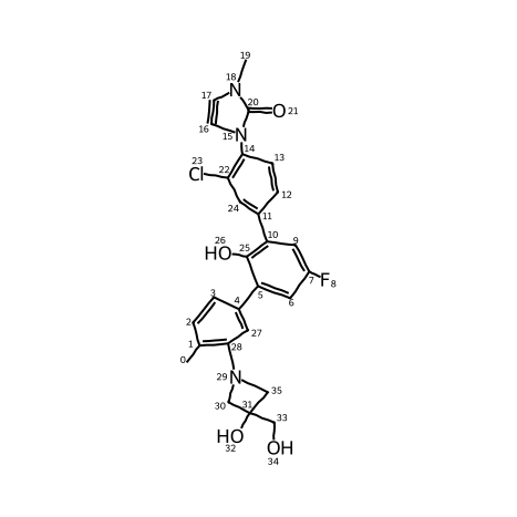 Cc1ccc(-c2cc(F)cc(-c3ccc(-n4c#cn(C)c4=O)c(Cl)c3)c2O)cc1N1CC(O)(CO)C1